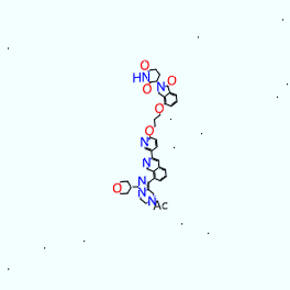 CC(=O)N1CCn2c(C3CCOCC3)nc(-c3cccc4cc(-c5ccc(OCCCOc6cccc7c6CN(C6CCC(=O)NC6=O)C7=O)nc5)ncc34)c2C1